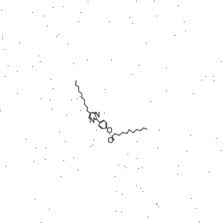 CCCCCCCCCCc1cnc(-c2ccc(OC[C@]3(CCCCCCCCCC)CO3)cc2)nc1